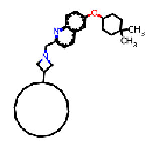 CC1(C)CCC(Oc2ccc3nc(CN4CC(C5CCCCCCCCCCCCCCC5)C4)ccc3c2)CC1